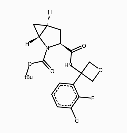 CC(C)(C)OC(=O)N1[C@@H]2C[C@H]2C[C@H]1C(=O)NC1(c2cccc(Cl)c2F)COC1